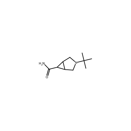 CC(C)(C)N1CC2C(C1)C2C(N)=O